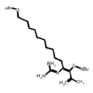 C=C(C)/C(OCCCC)=C(/CCCCCCCCCCOCCCC)N=C(N)N